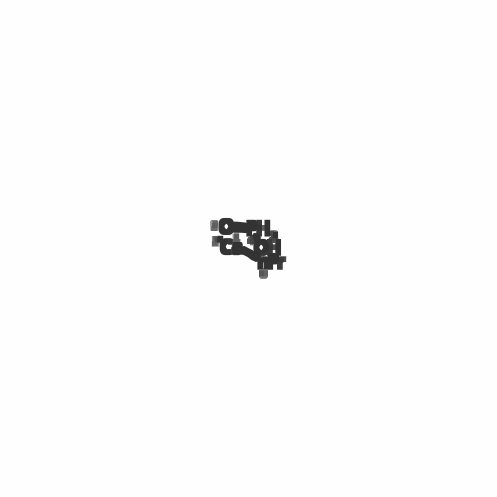 CC[CH2][Ca][CH3].O=[PH2]O